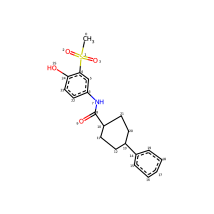 CS(=O)(=O)c1cc(NC(=O)C2CCC(c3ccccc3)CC2)ccc1O